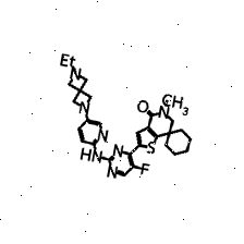 CCN1CC2(C1)CN(c1ccc(Nc3ncc(F)c(-c4cc5c(s4)C4(CCCCC4)CN(C)C5=O)n3)nc1)C2